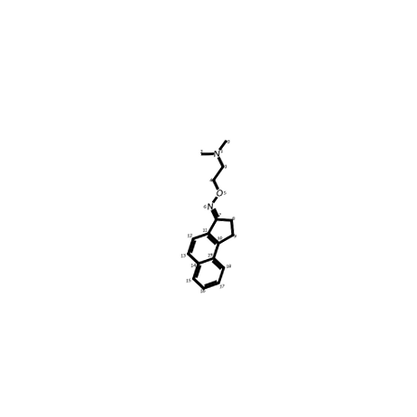 CN(C)CCON=C1CCc2c1ccc1ccccc21